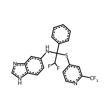 FC(F)C(Nc1ccc2[nH]cnc2c1)(Sc1ccnc(C(F)(F)F)c1)c1ccccc1